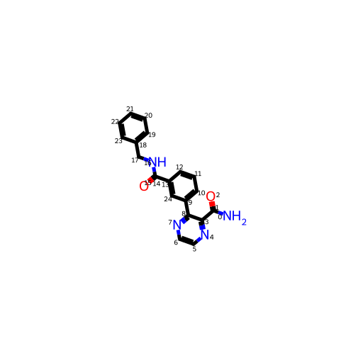 NC(=O)c1nccnc1-c1cccc(C(=O)NCc2ccccc2)c1